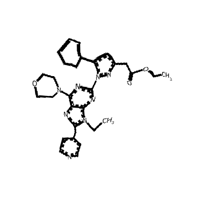 CCOC(=O)Cc1cc(C2=CC=CCC2)n(-c2nc(N3CCOCC3)c3nc(-c4ccncc4)n(CC)c3n2)n1